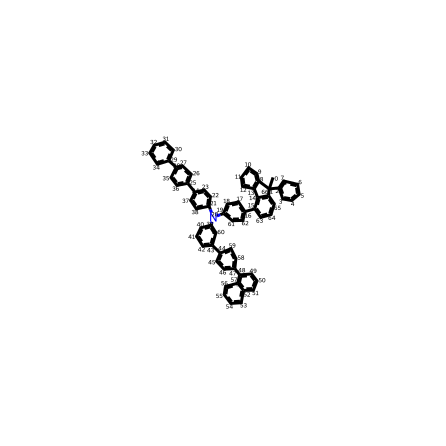 CC1(c2ccccc2)c2ccccc2-c2c(-c3ccc(N(c4ccc(-c5ccc(-c6ccccc6)cc5)cc4)c4cccc(-c5ccc(-c6cccc7ccccc67)cc5)c4)cc3)cccc21